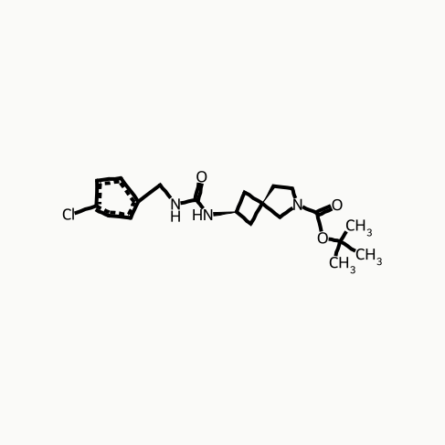 CC(C)(C)OC(=O)N1CC[C@]2(C1)C[C@H](NC(=O)NCc1ccc(Cl)cc1)C2